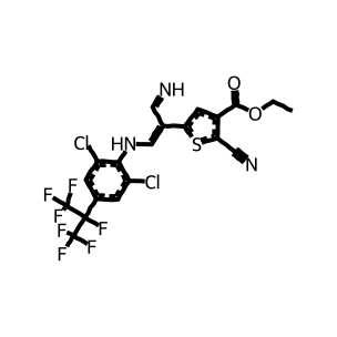 CCOC(=O)c1cc(/C(C=N)=C/Nc2c(Cl)cc(C(F)(C(F)(F)F)C(F)(F)F)cc2Cl)sc1C#N